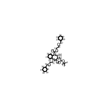 CC(C)(C)OC(=O)N[C@H]1CN(C(=O)OCCOCc2ccccc2)c2ccccc2N(CCOCc2ccccc2)C1=O